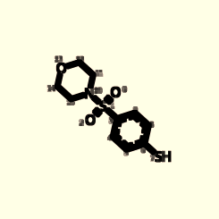 O=S(=O)(c1ccc(S)cc1)N1CCOCC1